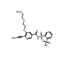 COCCOCCOc1cc(C(=O)NS(=O)(=O)c2ccccc2S(N)(=O)=O)cnc1C#CC(C)(C)C